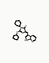 O=C1/C(=C/C2=CNC3N=CC=CC23)N=C(Oc2ccccc2)N1c1ccccc1